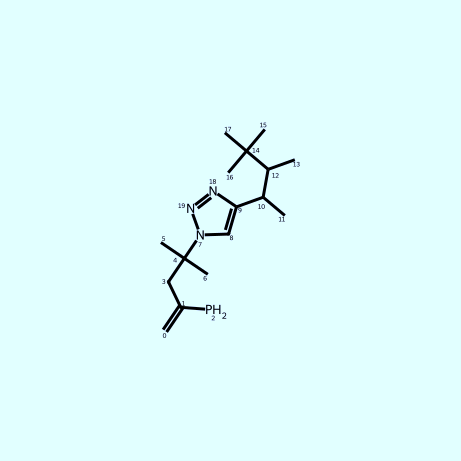 C=C(P)CC(C)(C)n1cc(C(C)C(C)C(C)(C)C)nn1